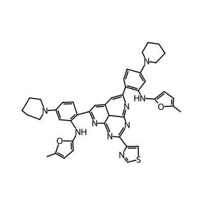 Cc1ccc(Nc2cc(N3CCCCC3)ccc2C2=CC3=CC(c4ccc(N5CCCCC5)cc4Nc4ccc(C)o4)=NC4=NC(c5cscn5)=NC(=N2)C34)o1